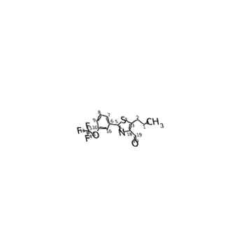 CCCc1sc(-c2cccc(OC(F)(F)F)c2)nc1C=O